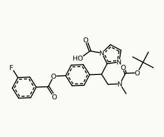 CN(CC(c1ccc(OC(=O)c2cccc(F)c2)cc1)c1nccn1C(=O)O)C(=O)OC(C)(C)C